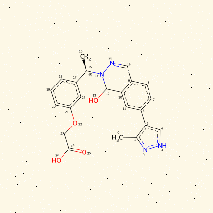 Cc1n[nH]cc1-c1ccc2c(c1)C(O)N([C@H](C)c1cccc(OCC(=O)O)c1)N=C2